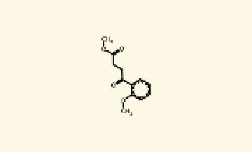 COC(=O)CCC(=O)c1ccccc1OC